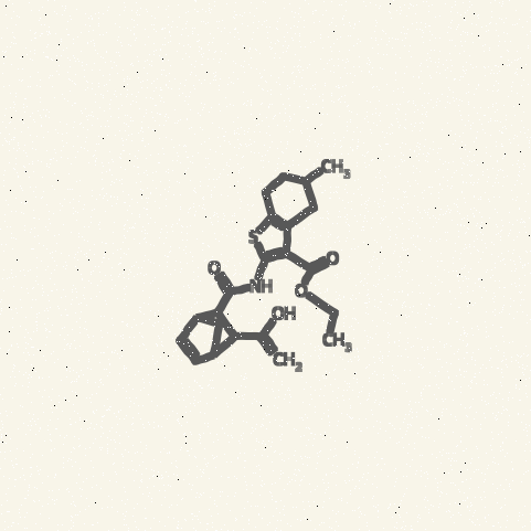 C=C(O)C1C2C=CC(C2)C1C(=O)Nc1sc2c(c1C(=O)OCC)CC(C)CC2